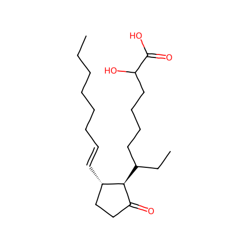 CCCCCCC=C[C@H]1CCC(=O)[C@@H]1C(CC)CCCCC(O)C(=O)O